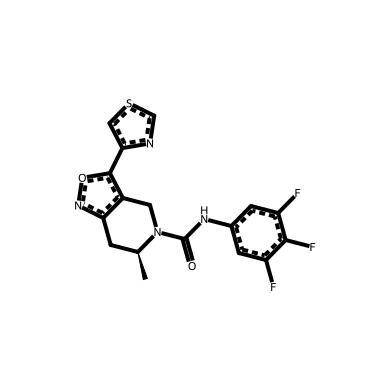 C[C@H]1Cc2noc(-c3cscn3)c2CN1C(=O)Nc1cc(F)c(F)c(F)c1